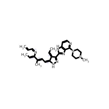 C=C\C=N/C(=C\C)C(/C)=C/C=c1/[nH]nc(-c2nc3c(N4CCN(C)CC4)nccc3[nH]2)/c1=C\C